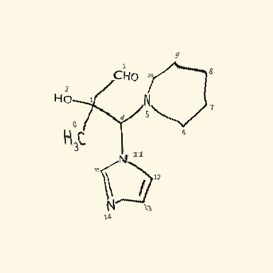 CC(O)(C=O)C(N1CCCCC1)n1ccnc1